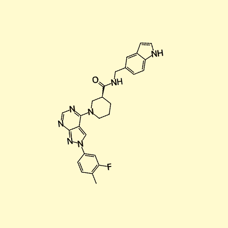 Cc1ccc(-n2cc3c(N4CCC[C@H](C(=O)NCc5ccc6[nH]ccc6c5)C4)ncnc3n2)cc1F